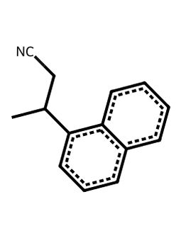 CC(CC#N)c1cccc2ccccc12